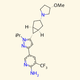 CO[C@H]1CCN([C@@H]2C[C@@H]3[C@H](C2)[C@H]3c2cc(-c3cnc(N)c(C(F)(F)F)c3)nn2C(C)C)C1